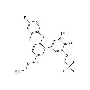 CCSNc1ccc(Oc2ccc(F)cc2F)c(-c2cc(OCC(F)(F)F)c(=O)n(C)c2)c1